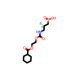 O=C(NC[C@H](F)CS(=O)O)OCCOC(=O)C1CCCCC1